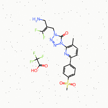 Cc1ccc(-c2ccc(S(C)(=O)=O)cc2)nc1-n1nnn(CC(CN)=C(F)F)c1=O.O=C(O)C(F)(F)F